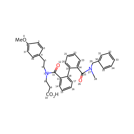 COc1ccc(CCN(CCC(=O)O)C(=O)c2ccccc2-c2ccccc2C(=O)N(C)Cc2ccccc2)cc1